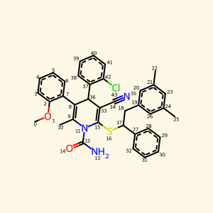 COc1ccccc1C1=C(C)N(C(N)=O)C(SC(Cc2cc(C)cc(C)c2)c2ccccc2)=C(C#N)C1c1ccccc1Cl